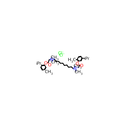 Cc1ccc(C(C)C)c(OC(=O)C[N+](C)(C)CCCCCCCCCC[N+](C)(C)CC(=O)Oc2cc(C(C)C)ccc2C)c1.[Cl-].[Cl-]